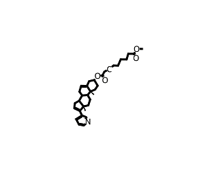 COC(=O)CCCCCCCC(=O)O[C@H]1CC[C@@]2(C)C(=CCC3C2CC[C@]2(C)C(c4cccnc4)=CCC32)C1